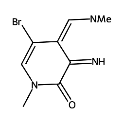 CN/C=C1\C(=N)C(=O)N(C)C=C1Br